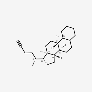 C#CCC[C@@H](C)[C@H]1CC[C@H]2[C@@H]3CCC4CCCC[C@]4(C)[C@H]3CC[C@]12C